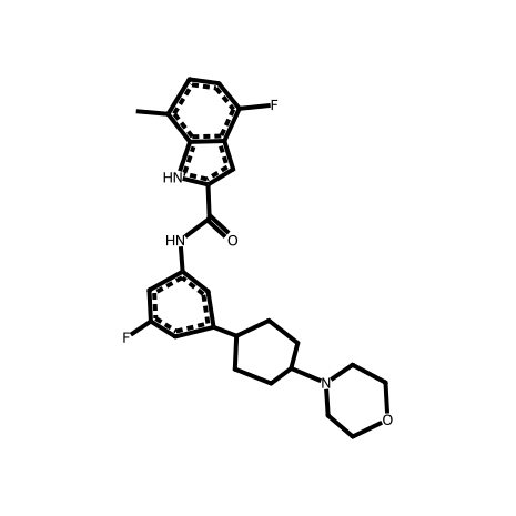 Cc1ccc(F)c2cc(C(=O)Nc3cc(F)cc(C4CCC(N5CCOCC5)CC4)c3)[nH]c12